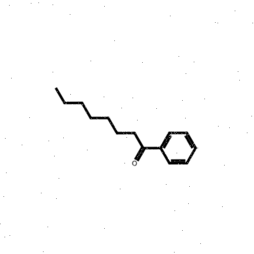 CCCCCCCC(=O)c1cc[c]cc1